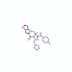 CC1CCC(NC(=O)C2(C)Cn3c(cc4occc43)C(=O)N2CCN2CCCC2)CC1